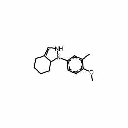 COc1ccc(N2NC=C3CCCCC32)cc1C